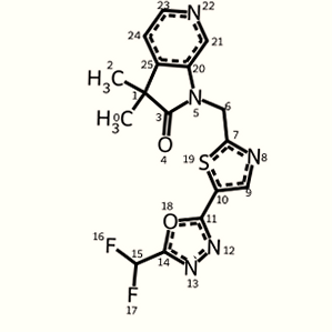 CC1(C)C(=O)N(Cc2ncc(-c3nnc(C(F)F)o3)s2)c2cnccc21